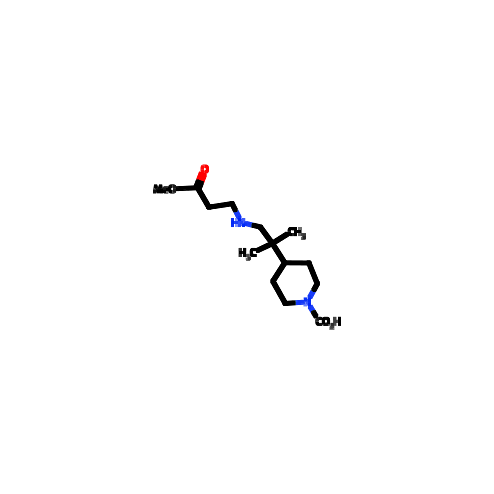 COC(=O)CCNCC(C)(C)C1CCN(C(=O)O)CC1